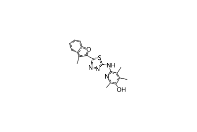 Cc1nc(Nc2nnc(-c3oc4ccccc4c3C)s2)c(C)c(C)c1O